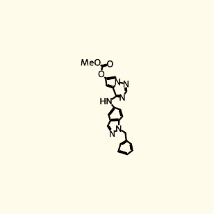 COC(=O)Oc1cc2c(Nc3ccc4c(cnn4Cc4ccccc4)c3)ncnn2c1